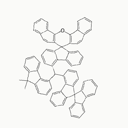 CC1(C)c2ccccc2-c2c(C(c3cccc4c3-c3ccccc3C43c4ccccc4-c4ccccc43)c3cccc4c3-c3ccccc3C43c4ccc5ccccc5c4Oc4c3ccc3ccccc43)cccc21